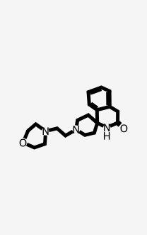 O=C1Cc2ccccc2C2(CCN(CCN3CCOCC3)CC2)N1